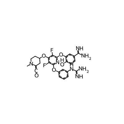 CN1CCC(Oc2c(F)c(Oc3cccc(NC(=N)N)c3)nc(Oc3cc(C(=N)N)ccc3O)c2F)CC1=C=O